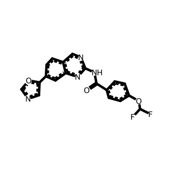 O=C(Nc1ncc2ccc(-c3cnco3)cc2n1)c1ccc(OC(F)F)cc1